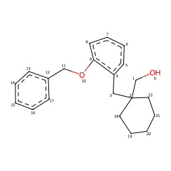 OCC1(Cc2ccccc2OCc2ccccc2)CCCCC1